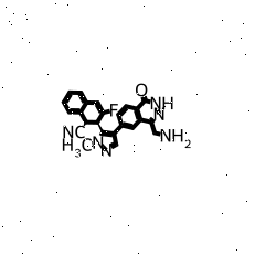 Cn1ncc(-c2ccc3c(=O)[nH]nc(CN)c3c2)c1[C@@H]1C(F)=Cc2ccccc2[C@H]1C#N